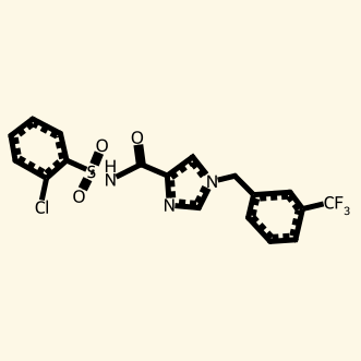 O=C(NS(=O)(=O)c1ccccc1Cl)c1cn(Cc2cccc(C(F)(F)F)c2)cn1